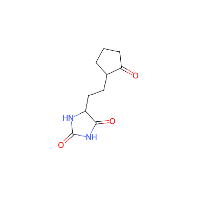 O=C1NC(=O)C(CCC2CCCC2=O)N1